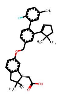 Cc1ccc(F)c(-c2ccc(COc3ccc4c(c3)[C@@H](CC(=O)O)C(C)(C)C4)cc2C2=CCCC2(C)C)c1